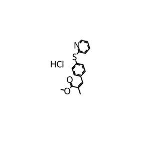 COC(=O)C(C)=Cc1ccc(Sc2ccccn2)cc1.Cl